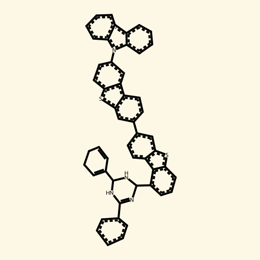 C1=CC(C2NC(c3ccccc3)=NC(c3cccc4sc5cc(-c6ccc7c(c6)sc6ccc(-n8c9ccccc9c9ccccc98)cc67)ccc5c34)N2)=CCC1